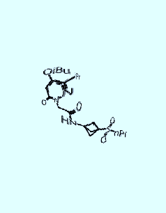 CCCS(=O)(=O)C12CC(NC(=O)Cn3nc(C(C)C)c(OCC(C)C)cc3=O)(C1)C2